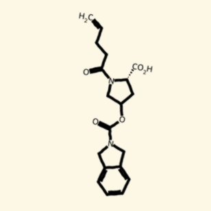 C=CCCC(=O)N1CC(OC(=O)N2Cc3ccccc3C2)C[C@H]1C(=O)O